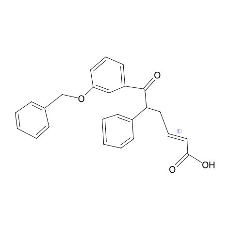 O=C(O)/C=C/CC(C(=O)c1cccc(OCc2ccccc2)c1)c1ccccc1